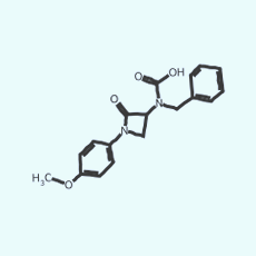 COc1ccc(N2CC(N(Cc3ccccc3)C(=O)O)C2=O)cc1